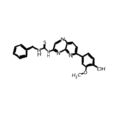 COc1cc(-c2ccc3ncc(NC(=S)NCc4ccccc4)nc3n2)ccc1O